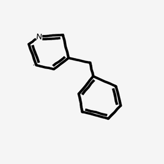 [c]1cncc(Cc2ccccc2)c1